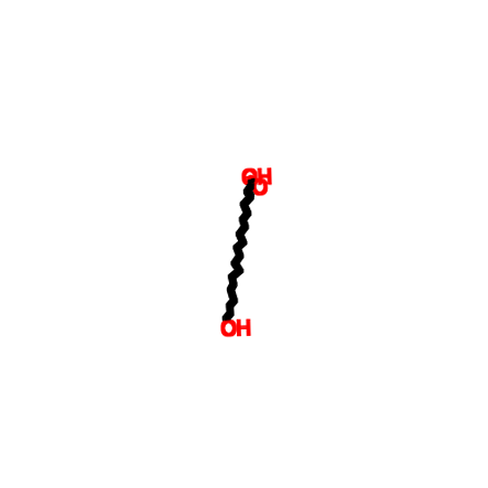 O=C(O)C=CCCCCCCCCCCCCCCCCCO